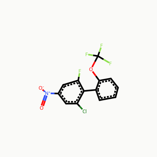 O=[N+]([O-])c1cc(F)c(-c2ccccc2OC(F)(F)F)c(Cl)c1